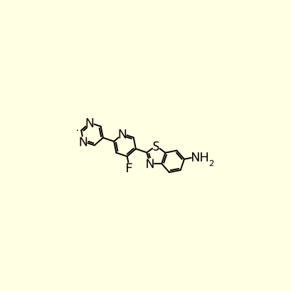 Nc1ccc2nc(-c3cnc(-c4cn[c]nc4)cc3F)sc2c1